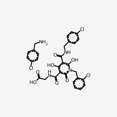 NCc1ccc(Cl)cc1.O=C(O)CNC(=O)c1c(O)c(C(=O)NCc2ccc(Cl)cc2)c(O)n(Cc2ccccc2Cl)c1=O